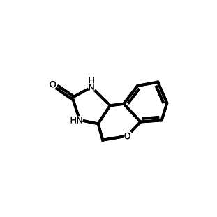 O=C1NC2COc3ccccc3C2N1